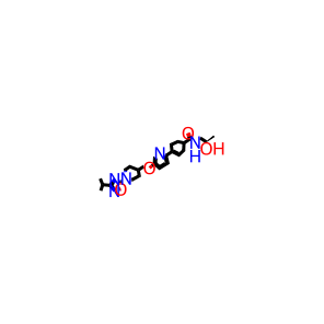 CC(C)c1noc(N2CCC(COc3ccc(C4=CCC(C(=O)NC[C@@H](C)O)CC4)nc3)CC2)n1